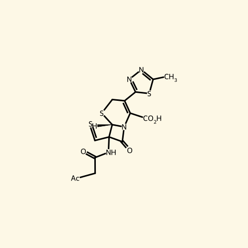 CC(=O)CC(=O)NC1(C=S)C(=O)N2C(C(=O)O)=C(c3nnc(C)s3)CS[C@H]21